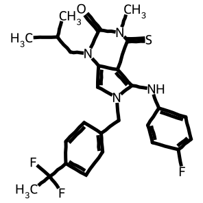 CC(C)Cn1c(=O)n(C)c(=S)c2c(Nc3ccc(F)cc3)n(Cc3ccc(C(C)(F)F)cc3)cc21